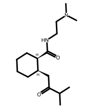 CC(C)C(=O)C[C@H]1CCCC[C@H]1C(=O)NCCN(C)C